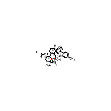 C=C1C(=O)[C@]23[C@H](OC(=O)c4ccc(C)cc4)[C@H]1CC[C@H]2[C@@]12CO[C@]3(O)[C@@H](O)[C@@H]1C(C)(C)CC[C@@H]2OC(C)=O